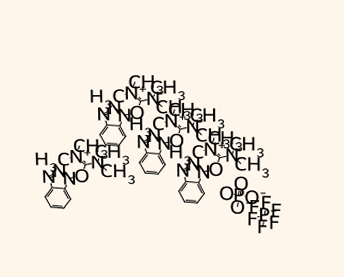 CN(C)C(On1nnc2ccccc21)=[N+](C)C.CN(C)C(On1nnc2ccccc21)=[N+](C)C.CN(C)C(On1nnc2ccccc21)=[N+](C)C.CN(C)C(On1nnc2ccccc21)=[N+](C)C.F[P-](F)(F)(F)(F)F.O=P([O-])([O-])[O-]